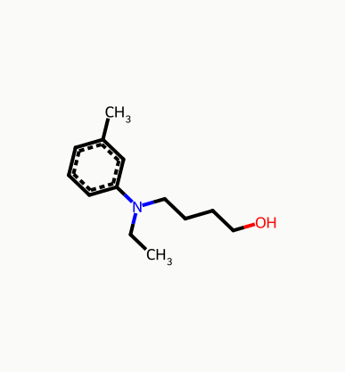 CCN(CCCCO)c1cccc(C)c1